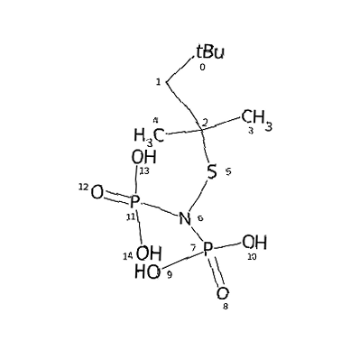 CC(C)(C)CC(C)(C)SN(P(=O)(O)O)P(=O)(O)O